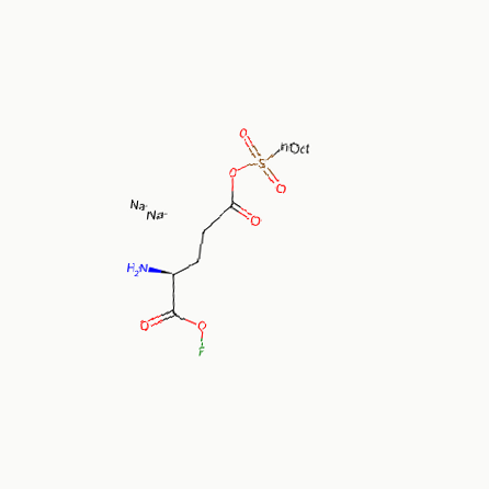 CCCCCCCCS(=O)(=O)OC(=O)CC[C@H](N)C(=O)OF.[Na].[Na]